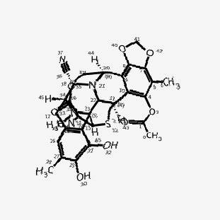 CC(=O)Oc1c(C)c2c(c3c1[C@H]1SCC(N)C(=O)OC[C@@H]3N3C1[C@@H]1c4c(cc(C)c(O)c4O)C[C@H]([C@@H]3C#N)N1C)OCO2